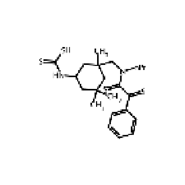 CCCN(CC1(C)CC(NC(=S)S)CC(C)(C)C1)C(=S)C(=S)c1ccccc1